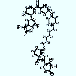 Cc1nc2c(F)cc(-c3nc(Nc4ccc(CN5CCN(CCCCCCSc6cccc7c6CN(C6CCC(=O)NC6=O)C7=O)CC5)cn4)ncc3F)cc2n1C(C)C